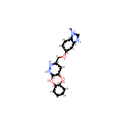 Cn1cnc2cc(OCc3cc4c(nn3)Oc3ccccc3O4)ccc21